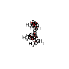 CC[C@H](C(=O)N1CCCC[C@H]1C(=O)O[C@H](CCc1ccc(OC)c(OC)c1)c1ccccc1OCC(=O)NCCOCCOCCC(=O)Nc1cccc(-n2c(=O)n(C3CC3)c(=O)c3c(Nc4ccc(I)cc4F)n(C)c(=O)c(C)c32)c1)c1cc(OC)c(OC)c(OC)c1